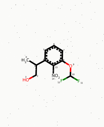 [CH2]C(CO)c1cccc(OC(F)F)c1[N+](=O)[O-]